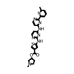 Cc1cccc(-c2nccc(Nc3ccnc(Nc4cc(C(=O)O[C@@H]5CCN(C)C5)cs4)n3)n2)n1